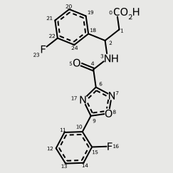 O=C(O)CC(NC(=O)c1noc(-c2ccccc2F)n1)c1cccc(F)c1